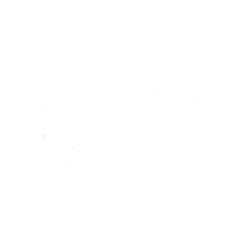 COc1ccc(/C=C(/C(=O)O)c2ccccc2)cc1OC(C)=O